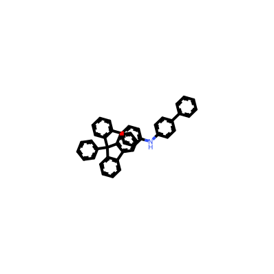 c1ccc(-c2ccc(Nc3ccc(-c4ccccc4C4(c5ccccc5)c5ccccc5-c5ccccc54)cc3)cc2)cc1